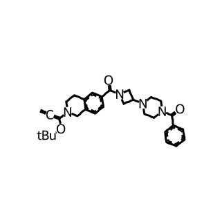 C=C=C(OC(C)(C)C)N1CCc2cc(C(=O)N3CC(N4CCN(C(=O)c5ccccc5)CC4)C3)ccc2C1